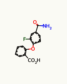 NC(=O)c1ccc(Oc2ccccc2C(=O)O)c(F)c1